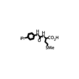 CSCCC(NC(=O)Nc1ccc(C(C)C)cc1)C(=O)O